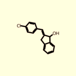 OC1/C(=C/c2ccc(Cl)cc2)Cc2ccccc21